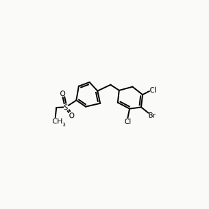 CCS(=O)(=O)c1ccc(CC2C=C(Cl)C(Br)=C(Cl)C2)cc1